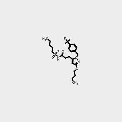 CCCCCS(=O)(=O)NC(=O)CCc1cc(OCCCC)nn1Cc1ccc(C(F)(F)F)cc1